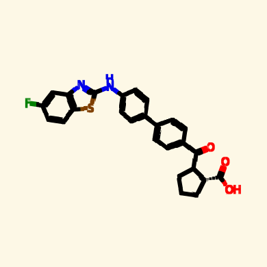 O=C(c1ccc(-c2ccc(Nc3nc4cc(F)ccc4s3)cc2)cc1)C1CCC[C@H]1C(=O)O